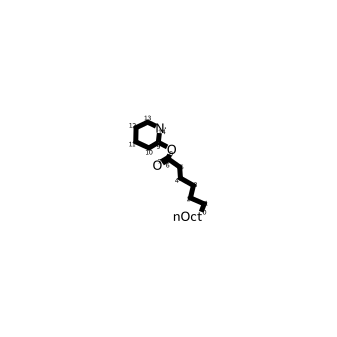 CCCCCCCCCCCCCC(=O)OC1CCCC[N]1